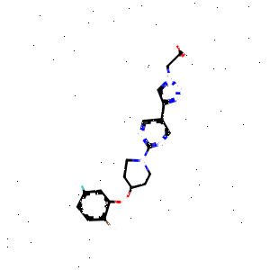 O=C(O)Cn1cc(-c2cnc(N3CCC(Oc4cc(F)ccc4Br)CC3)nc2)nn1